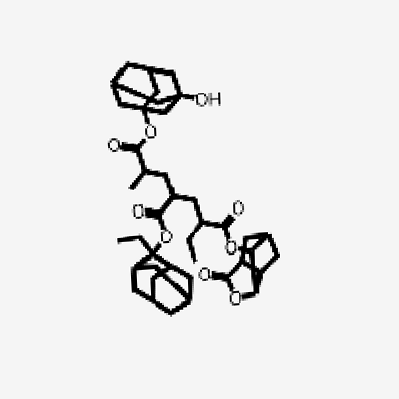 CCC(CC(CC(C)C(=O)OC12CC3CC(CC(O)(C3)C1)C2)C(=O)OC1(CC)C2CC3CC(C2)CC1C3)C(=O)OC1C2CC3C(=O)OC1C3C2